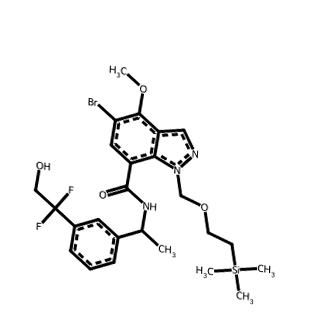 COc1c(Br)cc(C(=O)NC(C)c2cccc(C(F)(F)CO)c2)c2c1cnn2COCC[Si](C)(C)C